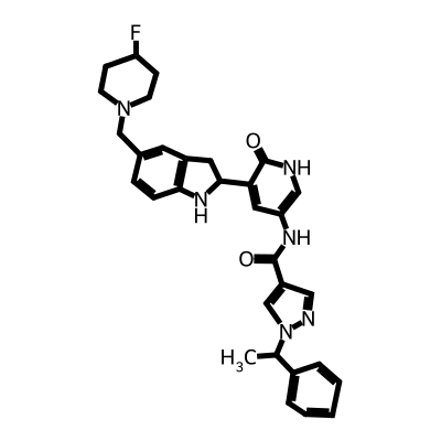 CC(c1ccccc1)n1cc(C(=O)Nc2c[nH]c(=O)c(C3Cc4cc(CN5CCC(F)CC5)ccc4N3)c2)cn1